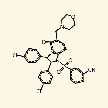 N#Cc1cccc(S(=O)(=O)N2c3ccc(CN4CCOCC4)c(=O)n3C(c3ccc(Cl)cc3)C2c2ccc(Cl)cc2)c1